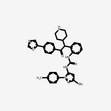 Cc1ccc(-n2nc(C(C)(C)C)cc2NC(=O)Nc2ccccc2C(C(=O)c2ccc(-c3cnco3)cc2)C2CCNCC2)cc1